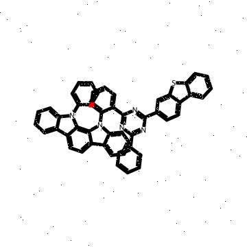 c1ccc(-c2nc(-c3ccc4c(c3)sc3ccccc34)nc(-c3ccccc3-n3c4ccccc4c4ccc5c6ccccc6n(-c6ccccc6)c5c43)n2)cc1